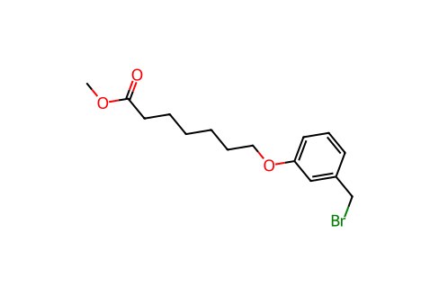 COC(=O)CCCCCCOc1cccc(CBr)c1